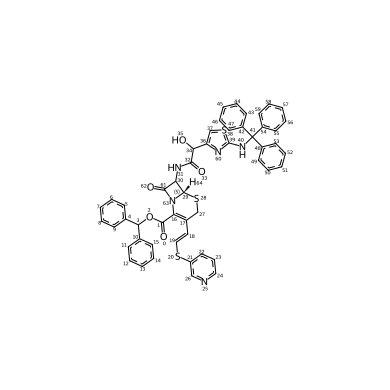 O=C(OC(c1ccccc1)c1ccccc1)C1=C(C=CSc2cccnc2)CS[C@H]2C(NC(=O)C(O)c3csc(NC(c4ccccc4)(c4ccccc4)c4ccccc4)n3)C(=O)N12